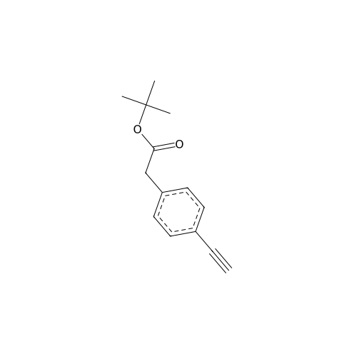 C#Cc1ccc(CC(=O)OC(C)(C)C)cc1